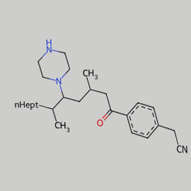 CCCCCCCC(C)C(CC(C)CC(=O)c1ccc(CC#N)cc1)N1CCNCC1